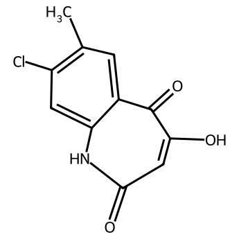 Cc1cc2c(=O)c(O)cc(=O)[nH]c2cc1Cl